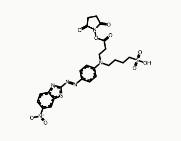 O=C(CCN(CCCCS(=O)(=O)O)c1ccc(N=Nc2nc3ccc([N+](=O)[O-])cc3s2)cc1)ON1C(=O)CCC1=O